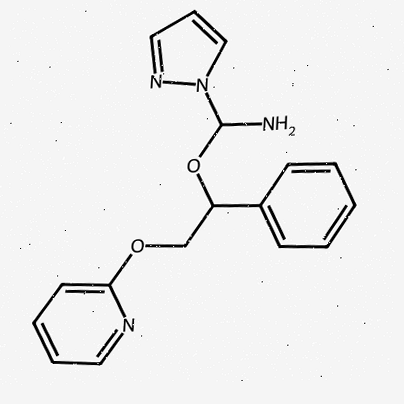 NC(OC(COc1ccccn1)c1ccccc1)n1cccn1